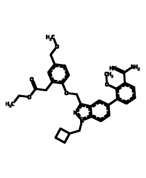 CCOC(=O)Cc1cc(COC)ccc1OCc1nn(CC2CCC2)c2ccc(-c3cccc(C(=N)N)c3OC)cc12